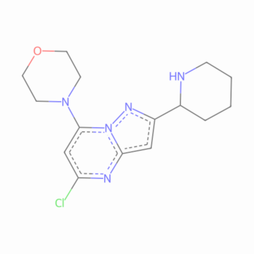 Clc1cc(N2CCOCC2)n2nc(C3CCCCN3)cc2n1